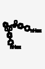 CCCCCCC1CCC(c2ccc(C(=O)OCC(OC(=O)c3ccc(C4CCC(CCCCCC)CC4)cc3)c3ccccc3)cc2)CC1